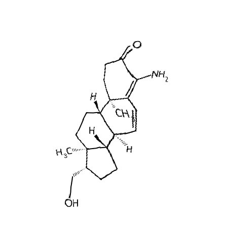 C[C@]12CC[C@H]3[C@@H](C=CC4=C(N)C(=O)CC[C@@]43C)[C@@H]1CC[C@@H]2CO